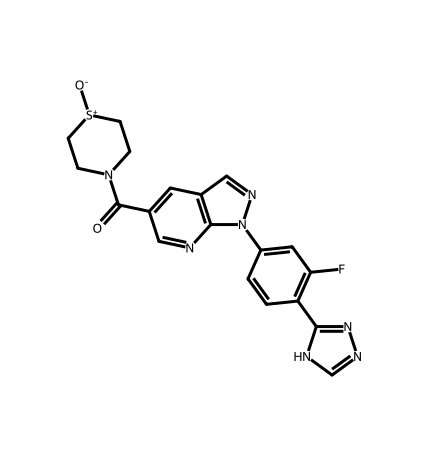 O=C(c1cnc2c(cnn2-c2ccc(-c3nnc[nH]3)c(F)c2)c1)N1CC[S+]([O-])CC1